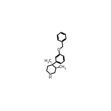 C[C@H]1CNCC[C@@]1(C)c1cccc(OCc2ccccc2)c1